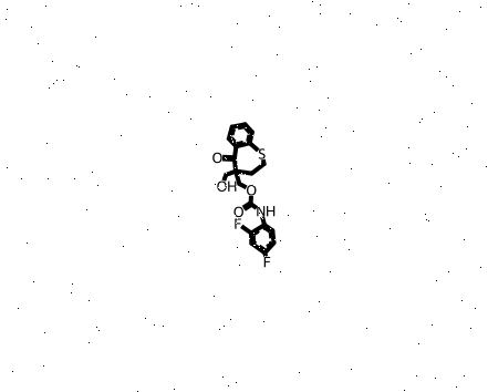 O=C(Nc1ccc(F)cc1F)OCC1(CO)CCSc2ccccc2C1=O